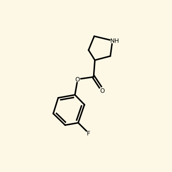 O=C(Oc1cccc(F)c1)C1CCNC1